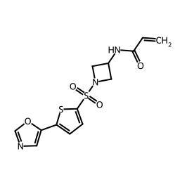 C=CC(=O)NC1CN(S(=O)(=O)c2ccc(-c3cnco3)s2)C1